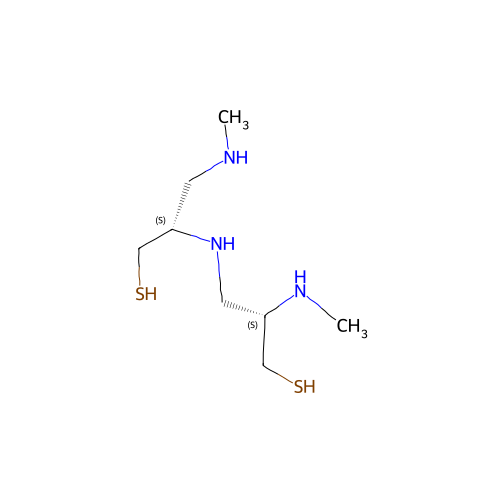 CNC[C@@H](CS)NC[C@@H](CS)NC